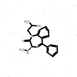 CN[C@@H]1N=C(c2ccccc2)c2ccccc2N(CC(C)C)C1=O